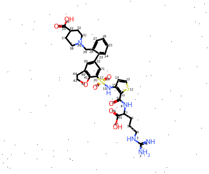 N=C(N)NCCCC(NC(=O)c1sccc1NS(=O)(=O)c1cc(-c2ccccc2CN2CCC(C(=O)O)CC2)cc2c1OCC2)C(=O)O